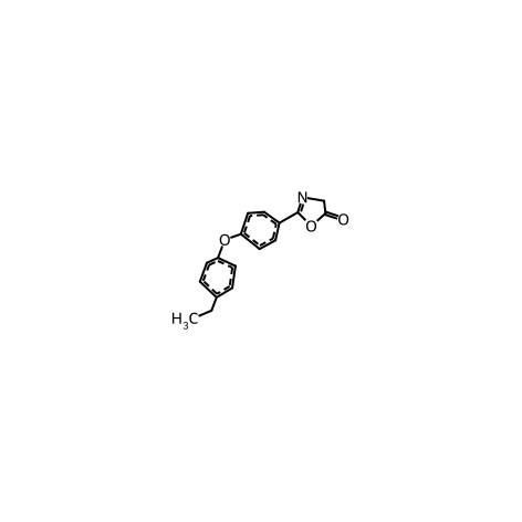 CCc1ccc(Oc2ccc(C3=NCC(=O)O3)cc2)cc1